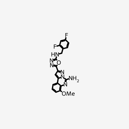 COc1cccc2c1nc(N)n1nc(-c3nnc(NCc4ccc(F)cc4F)o3)cc21